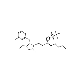 CCCCC[C@@H](CC[C@@H]1[C@@H](Cc2cccc(C)c2)[C@@H](CC)C[C@H]1C)O[Si](C)(C)C(C)(C)C